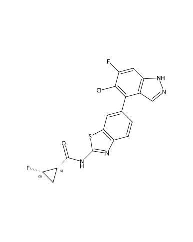 O=C(Nc1nc2ccc(-c3c(Cl)c(F)cc4[nH]ncc34)cc2s1)[C@@H]1C[C@@H]1F